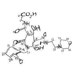 O=C(O)CNC(=O)c1c(O)c(C(=O)NCCN2CCOCC2)c(O)n(Cc2ccccc2Cl)c1=O